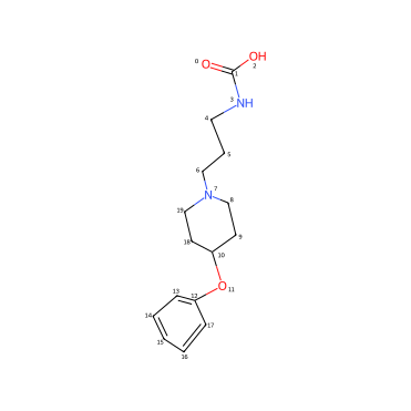 O=C(O)NCCCN1CCC(Oc2ccccc2)CC1